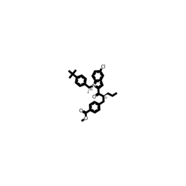 CCC[C@@H](Cc1ccc(C(=O)OC)cc1)C(=O)c1cc2cc(Cl)ccc2n1[C@H](C)c1ccc(C(C)(C)C)cc1